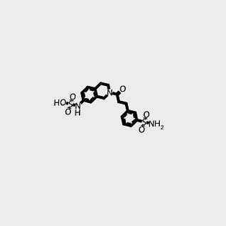 NS(=O)(=O)c1cccc(CCC(=O)N2CCc3ccc(NS(=O)(=O)O)cc3C2)c1